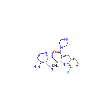 C[C@H](Nc1ncnc(N)c1C#N)c1nc2c(F)cccc2cc1C(=O)N1CCNCC1